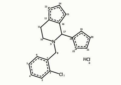 Cl.Clc1ccccc1CN1CCc2sccc2C1c1cccs1